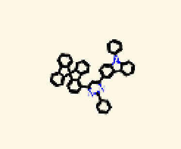 c1ccc(-c2nc(-c3ccc4c(c3)c3ccccc3n4-c3ccccc3)cc(-c3cccc4c3-c3ccccc3C43c4ccccc4-c4ccccc43)n2)cc1